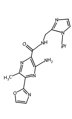 Cc1nc(C(=O)NCc2nccn2C(C)C)c(N)nc1-c1ncco1